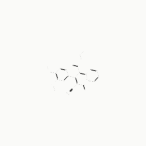 CCOC(=O)c1c(-c2ccc(OC)c(OC)c2)c(C#N)c(=O)n2ccccc12